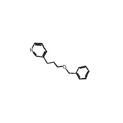 c1ccc(COCCCc2cccnc2)cc1